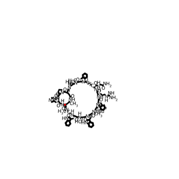 CCCC[C@H]1C(=O)N(C)[C@@H](Cc2ccccc2)C(=O)N[C@@H](CCCNC(=N)N)C(=O)N[C@H](C(=O)NCC(N)=O)CSCC(=O)N[C@@H](Cc2ccccc2)C(=O)N(C)[C@@H](C)C(=O)N[C@H]2CC(=O)NC(C)C[C@H](NC(=O)[C@H](Cc3cnc[nH]3)NC(=O)[C@@H]3CCCN3C2=O)C(=O)N(C)CC(=O)N[C@@H](Cc2c[nH]c3ccccc23)C(=O)N[C@@H](CO)C(=O)N[C@@H](Cc2c[nH]c3ccccc23)C(=O)N1C